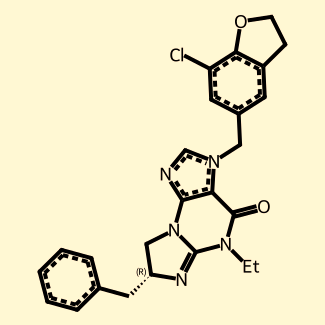 CCN1C(=O)c2c(ncn2Cc2cc(Cl)c3c(c2)CCO3)N2C[C@@H](Cc3ccccc3)N=C12